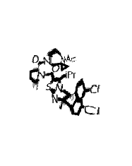 CC(=O)N1CCN(C(=O)[C@H]2CC[C@@H](C)N2C(=O)C2=C(C(C)C)N3C(=N[C@@](C)(c4ccc(Cl)cc4)[C@H]3c3ccc(Cl)cc3)S2)CC12CC2